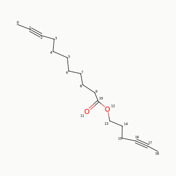 CC#CCCCCCCCC(=O)OCCCC#CC